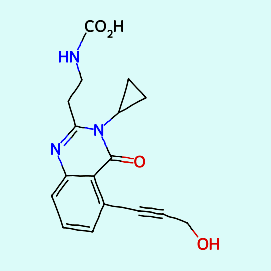 O=C(O)NCCc1nc2cccc(C#CCO)c2c(=O)n1C1CC1